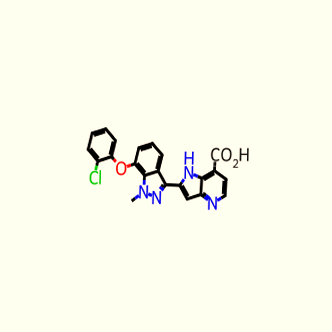 Cn1nc(-c2cc3nccc(C(=O)O)c3[nH]2)c2cccc(Oc3ccccc3Cl)c21